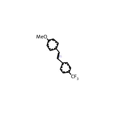 COc1ccc(/C=C/c2ccc(C(F)(F)F)cc2)cc1